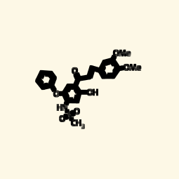 COc1ccc(/C=C/C(=O)c2cc(Oc3ccccc3)c(NS(C)(=O)=O)cc2O)cc1OC